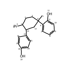 CC(C)C1CCC(C)(c2ccccc2O)CC1c1ccc(O)cc1